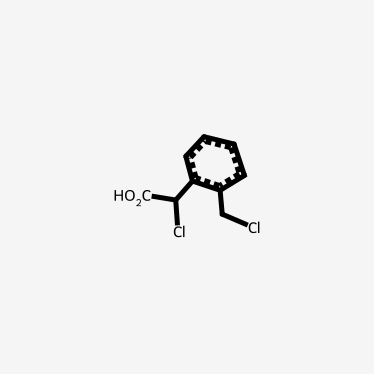 O=C(O)C(Cl)c1ccccc1CCl